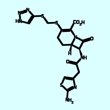 Nc1nc(CC(=O)N[C@@H]2C(=O)N3C(C(=O)O)=C(SCSc4c[nH]nn4)CC[C@@H]23)cs1